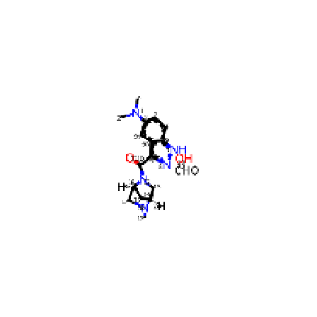 CN(C)c1ccc2[nH]nc(C(=O)N3C[C@@H]4C[C@H]3CN4C)c2c1.O=CO